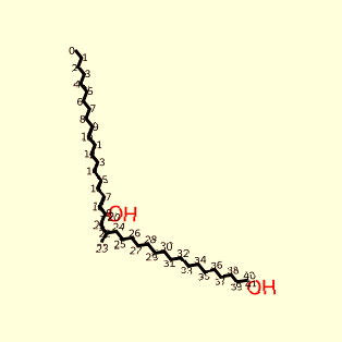 CCCCCCCCCCCCCCCCCCCC(O)CC(C)CCCCCCCCCCCCCCCCCO